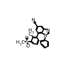 Cc1c(-c2cc(C#N)cc3ncn(-c4ccccc4)c23)cccc1S(C)(=O)=O